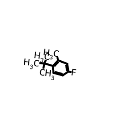 Cc1cc(F)ccc1C(C)(C)C